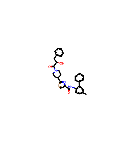 Cc1ccc(NC(=O)c2csc(C3CCN(C(=O)[C@H](O)Cc4ccccc4)CC3)n2)c(-c2ccccc2)c1